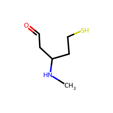 CNC(CC=O)CCS